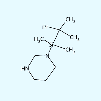 CC(C)C(C)(C)[Si](C)(C)N1CCCNC1